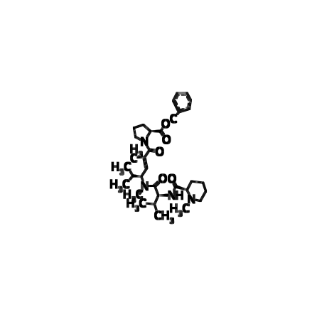 C/C(=C\[C@H](C(C)C)N(C)C(=O)[C@@H](NC(=O)[C@H]1CCCCN1C)C(C)C)C(=O)N1CCC[C@H]1C(=O)OCc1ccccc1